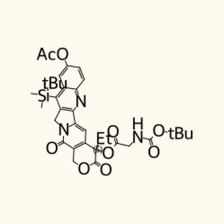 CC[C@@]1(OC(=O)CNC(=O)OC(C)(C)C)C(=O)OCc2c1cc1n(c2=O)Cc2c-1nc1ccc(OC(C)=O)cc1c2[Si](C)(C)C(C)(C)C